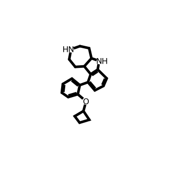 c1ccc(-c2cccc3c2C2CCNCCC2N3)c(OC2CCC2)c1